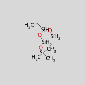 C=C[SiH](O[SiH3])O[SiH2]O[Si](C)(C)C